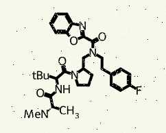 CN[C@@H](C)C(=O)NC(C(=O)N1CCCC1CN(CCc1ccc(F)cc1)C(=O)c1nc2ccccc2o1)C(C)(C)C